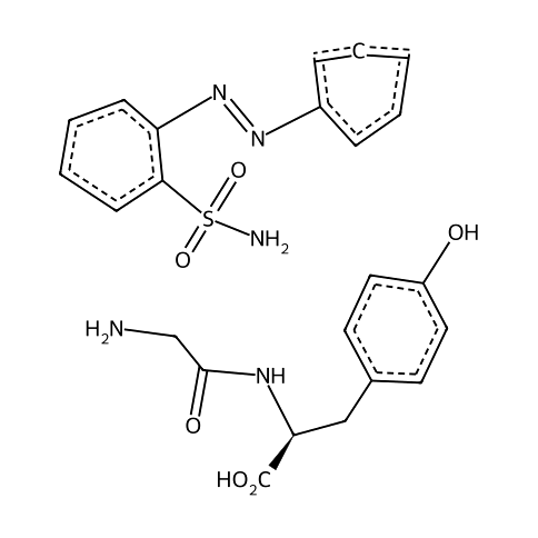 NCC(=O)N[C@@H](Cc1ccc(O)cc1)C(=O)O.NS(=O)(=O)c1ccccc1N=Nc1ccccc1